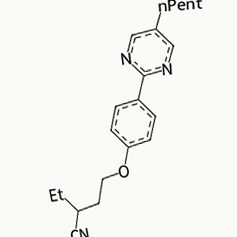 CCCCCc1cnc(-c2ccc(OCCC(C#N)CC)cc2)nc1